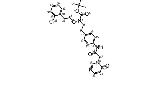 CC(C)(C)OC(=O)N(CCc1ccc(NC(=O)Cn2cnccc2=O)cc1)OCCc1ccccc1Cl